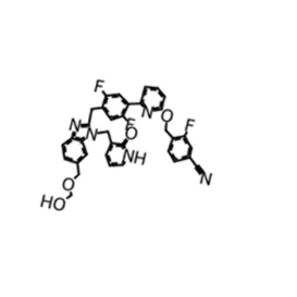 N#Cc1ccc(COc2cccc(-c3cc(F)c(Cc4nc5ccc(COCO)cc5n4Cc4ccc[nH]c4=O)cc3F)n2)c(F)c1